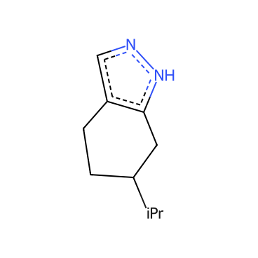 CC(C)C1CCc2cn[nH]c2C1